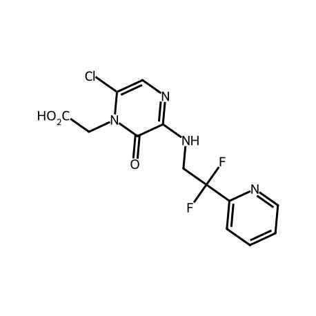 O=C(O)Cn1c(Cl)cnc(NCC(F)(F)c2ccccn2)c1=O